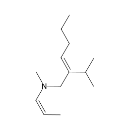 C/C=C\N(C)CC(=CCCC)C(C)C